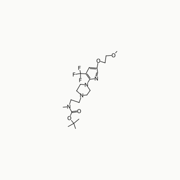 COCCOc1cnc(N2CCN(CCN(C)C(=O)OC(C)(C)C)CC2)c(C(F)(F)F)c1